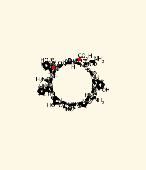 CCCC[C@H]1C(=O)N(C)[C@@H](CCCC)C(=O)N[C@@H](CCC(=O)O)C(=O)N[C@H](C(=O)NCC(N)=O)CSCC(=O)N[C@@H](Cc2ccc(O)cc2)C(=O)N(C)[C@@H](C)C(=O)N[C@@H](CC(N)=O)C(=O)N2CCC[C@H]2C(=O)N[C@@H](CO)C(=O)N[C@@H](CC(C)C)C(=O)N2C[C@H](O)C[C@H]2C(=O)N[C@@H](Cc2c[nH]c3ccccc23)C(=O)N[C@@H](CCN)C(=O)N[C@@H](Cc2cn(CC(=O)O)c3ccccc23)C(=O)N1C